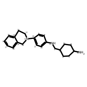 NC1CCC(CNc2ccc(N3CCc4ccccc4C3)cc2)CC1